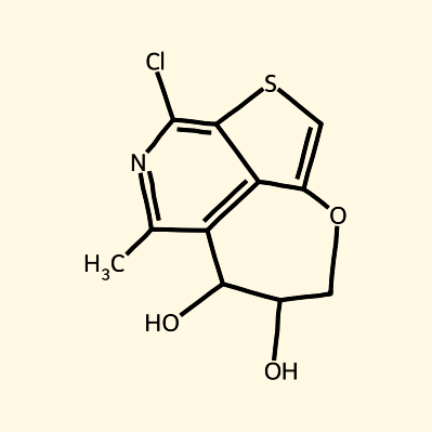 Cc1nc(Cl)c2scc3c2c1C(O)C(O)CO3